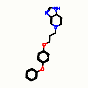 C1=CN(CCCOc2ccc(Oc3ccccc3)cc2)C=C2N=CNC12